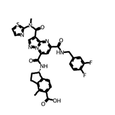 Cc1c(C(=O)O)ccc2c1CC[C@@H]2NC(=O)c1cc(C(=O)NCc2ccc(F)c(F)c2)nc2c(C(=O)N(C)c3nccs3)cnn12